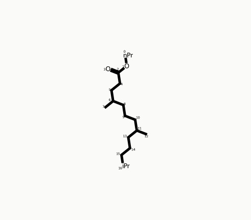 CCCOC(=O)CCC(C)CCCC(C)CCCC(C)C